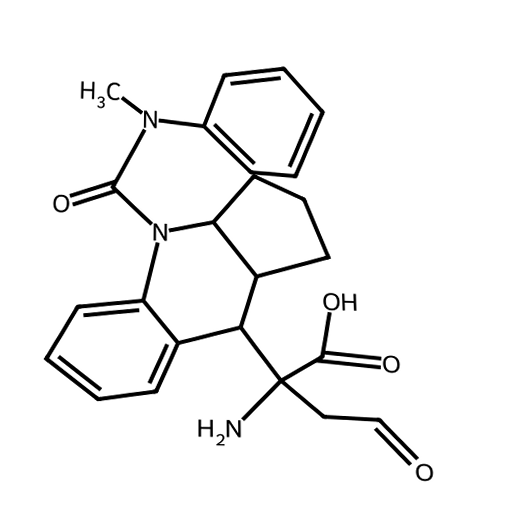 CN(C(=O)N1c2ccccc2C(C(N)(CC=O)C(=O)O)C2CCCC21)c1ccccc1